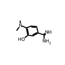 CN(C)c1ccc(C(=N)N)cc1O